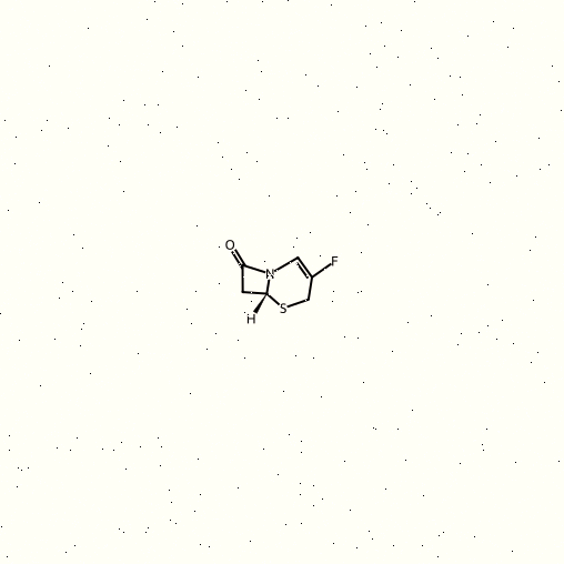 O=C1C[C@H]2SCC(F)=CN12